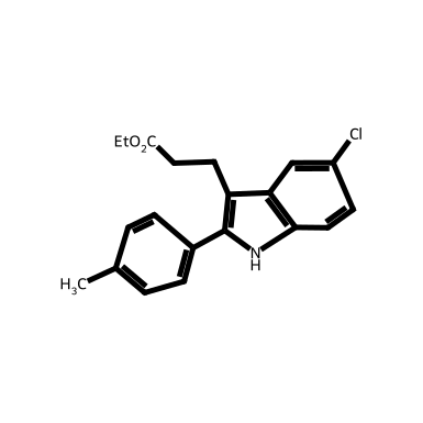 CCOC(=O)CCc1c(-c2ccc(C)cc2)[nH]c2ccc(Cl)cc12